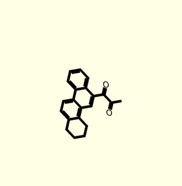 CC(=O)C(=O)c1cc2c3c(ccc2c2ccccc12)CCCC3